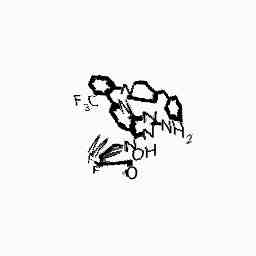 CNc1nc(N)nc2nc(-c3c(N4CCC(Cc5ccccc5)CC4)cccc3C(F)(F)F)ccc12.O=C(O)C(F)(F)F